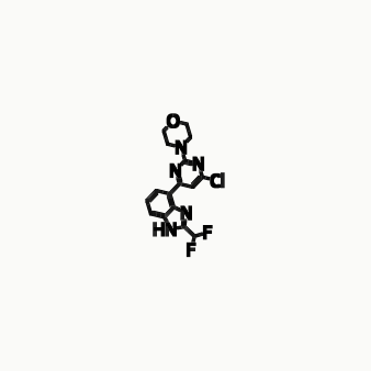 FC(F)c1nc2c(-c3cc(Cl)nc(N4CCOCC4)n3)cccc2[nH]1